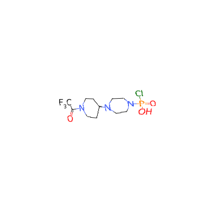 O=C(N1CCC(N2CCN(P(=O)(O)Cl)CC2)CC1)C(F)(F)F